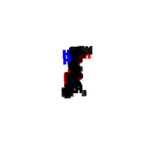 C[C@@H](C1CC1)N(Cc1ccccc1)C(=O)CN1C(=O)OC2(CCc3cc(NC(=O)C(NC(=O)O)C(O)C(C)(C)C)ccc32)C1=O